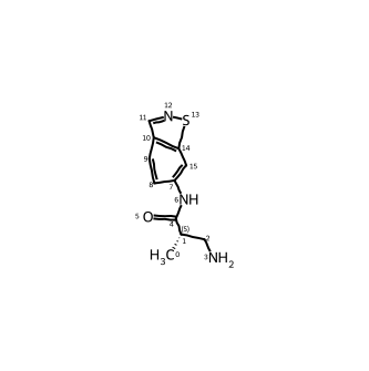 C[C@@H](CN)C(=O)Nc1ccc2cnsc2c1